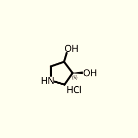 Cl.OC1CNC[C@@H]1O